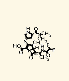 CC(NC(=O)C(F)F)[C@H]1C(=O)N2C(C(=O)O)=C(S[C@@H]3CN[C@H](C(=O)N(C)C)C3)[C@H](C)[C@H]12